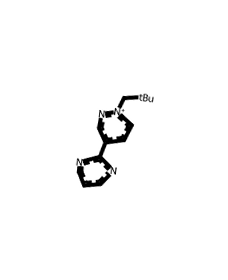 CC(C)(C)C[n+]1ccc(-c2ncccn2)cn1